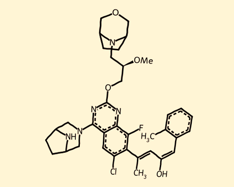 CO[C@@H](COc1nc(N2CC3CCC(C2)N3)c2cc(Cl)c(/C(C)=C/C(O)=C\c3ccccc3C)c(F)c2n1)CN1C2CCC1COC2